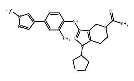 CC(=O)N1CCc2c(c(Nc3ccc(-c4cnn(C)c4)cc3C)nn2C2CCOC2)C1